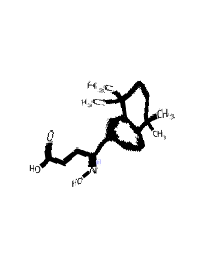 CC1(C)CCC(C)(C)c2cc(/C(CCC(=O)O)=N/O)ccc21